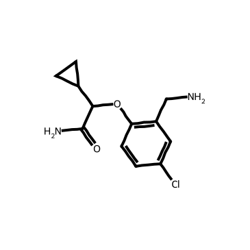 NCc1cc(Cl)ccc1OC(C(N)=O)C1CC1